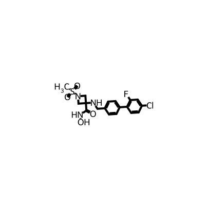 CS(=O)(=O)N1CC(NCc2ccc(-c3ccc(Cl)cc3F)cc2)(C(=O)NO)C1